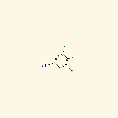 N#Cc1cc(F)c(O)c(Br)c1